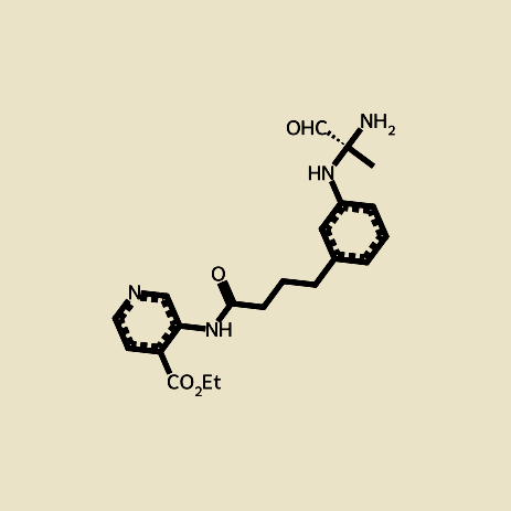 CCOC(=O)c1ccncc1NC(=O)CCCc1cccc(N[C@](C)(N)C=O)c1